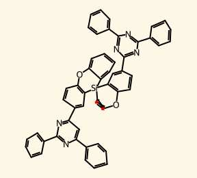 c1ccc(-c2cc(-c3ccc4c(c3)[Si]3(c5ccccc5O4)c4ccccc4Oc4ccc(-c5nc(-c6ccccc6)nc(-c6ccccc6)n5)cc43)nc(-c3ccccc3)n2)cc1